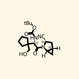 CC(C)(C)OC(=O)N[C@H](C(=O)N1[C@H](C#N)C[C@@H]2C[C@@H]21)C1(CO)CCCC1